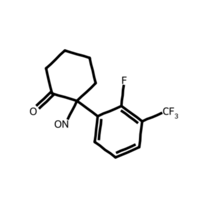 O=NC1(c2cccc(C(F)(F)F)c2F)CCCCC1=O